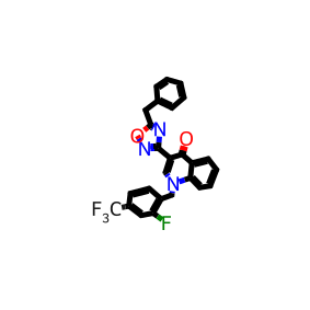 O=c1c(-c2noc(Cc3ccccc3)n2)cn(Cc2ccc(C(F)(F)F)cc2F)c2ccccc12